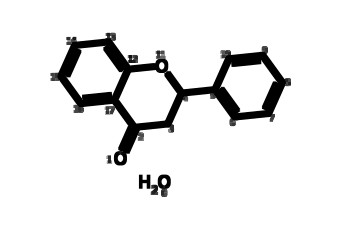 O.O=C1CC(c2ccccc2)Oc2ccccc21